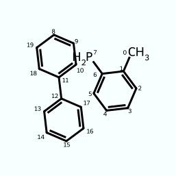 Cc1ccccc1P.c1ccc(-c2ccccc2)cc1